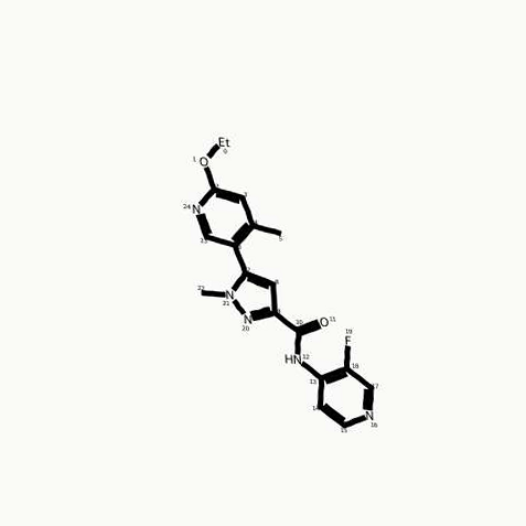 CCOc1cc(C)c(-c2cc(C(=O)Nc3ccncc3F)nn2C)cn1